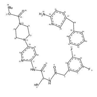 CCCC(NC(=O)Cc1cc(F)cc(F)c1)C(=O)Nc1ccc(N2CCN(C(=O)OC(C)(C)C)CC2)cn1.Nc1ccc(Cc2ccccc2)cn1